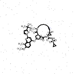 COc1ccc2c(O[C@H]3CC4C(=O)N(C)CCCC/C=C\[C@@H]5C[C@@]5(C(=O)NS(=O)(=O)C5CC5)NC(=O)[C@@H]4C3)cc(-n3ccc(C(C)(C)C)n3)nc2c1C